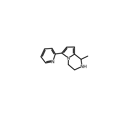 CC1NCCn2c(-c3ccccn3)ccc21